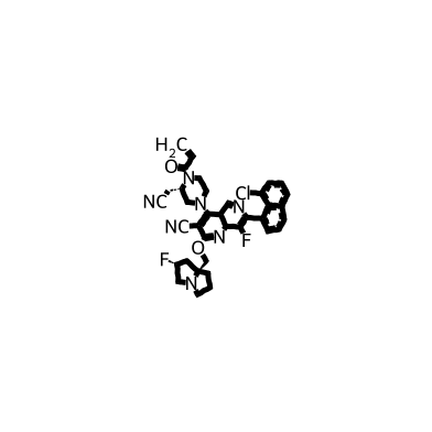 C=CC(=O)N1CCN(C2=C(C#N)C(OC[C@@]34CCCN3C[C@H](F)C4)=NC3C(F)=C(c4cccc5cccc(Cl)c45)N=CC23)C[C@@H]1CC#N